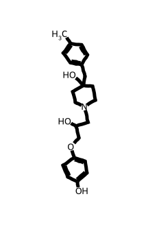 Cc1ccc(CC2(O)CCN(CC(O)COc3ccc(O)cc3)CC2)cc1